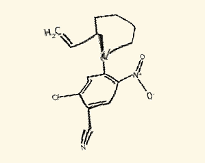 C=CC1CCCCN1c1cc(Cl)c(C#N)cc1[N+](=O)[O-]